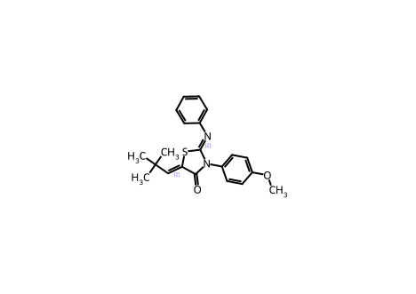 COc1ccc(N2C(=O)/C(=C/C(C)(C)C)S/C2=N\c2ccccc2)cc1